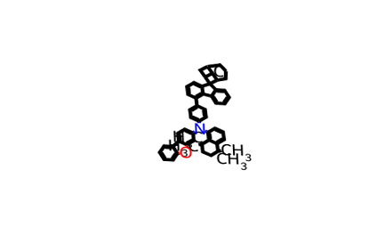 CC1(C)CCC(C)(C)c2c(N(c3ccc(-c4cccc5c4-c4ccccc4C54C5CC6CC7CC4C75C6)cc3)c3ccc4c(c3)oc3ccccc34)cccc21